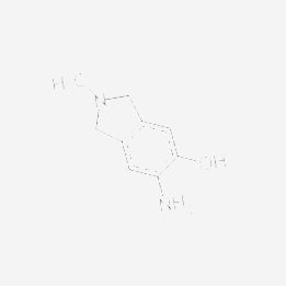 CN1Cc2cc(N)c(O)cc2C1